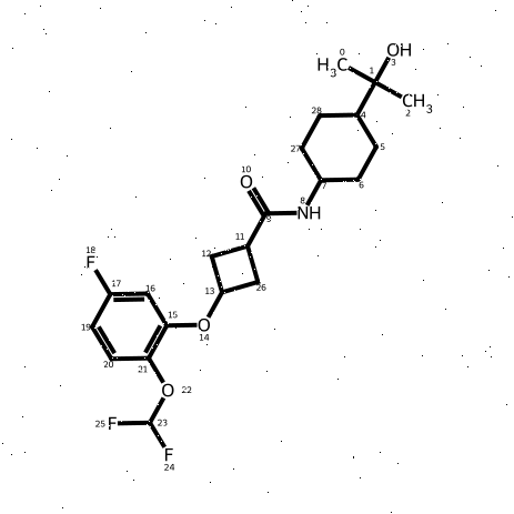 CC(C)(O)C1CCC(NC(=O)C2CC(Oc3cc(F)ccc3OC(F)F)C2)CC1